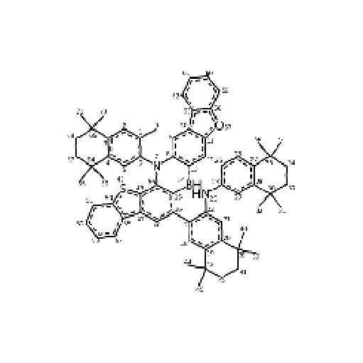 Cc1cc2c(cc1N1c3cc4c(cc3Bc3c(-c5cc6c(cc5Nc5ccc7c(c5)C(C)(C)CCC7(C)C)C(C)(C)CCC6(C)C)cc5c(sc6ccccc65)c31)oc1ccccc14)C(C)(C)CCC2(C)C